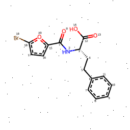 O=C(N[C@@H](CCc1ccccc1)C(=O)O)c1ccc(Br)o1